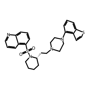 O=S(=O)(c1cccc2ncccc12)N1CCCC[C@H]1CCN1CCN(c2cccc3sccc23)CC1